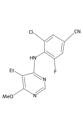 CCc1c(Nc2c(F)cc(C#N)cc2Cl)ncnc1OC